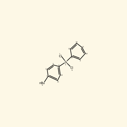 CCCCc1ccc([Si](Cl)(Cl)c2ccccc2)cc1